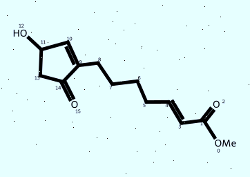 COC(=O)/C=C/CCCCC1=CC(O)CC1=O